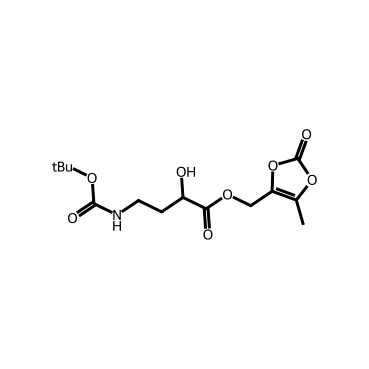 Cc1oc(=O)oc1COC(=O)C(O)CCNC(=O)OC(C)(C)C